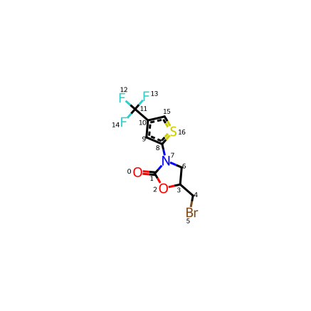 O=C1OC(CBr)CN1c1cc(C(F)(F)F)cs1